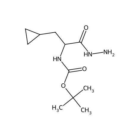 CC(C)(C)OC(=O)NC(CC1CC1)C(=O)NN